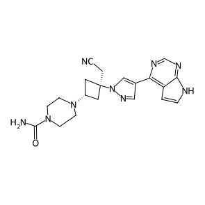 N#CC[C@]1(n2cc(-c3ncnc4[nH]ccc34)cn2)C[C@H](N2CCN(C(N)=O)CC2)C1